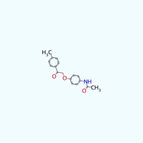 CC(=O)Nc1ccc(OCC(=O)c2ccc(C)cc2)cc1